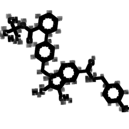 Bc1ccc(CNC(=O)c2ccc3c(c2)c(C)c(C)n3Cc2ccc(-c3ccccc3C(=O)OC(C)(C)C)cc2)cc1